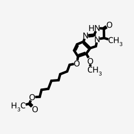 COc1c(OCCCCCCCCOC(C)=O)ccc2c1CN1C(=N2)NC(=O)C1C